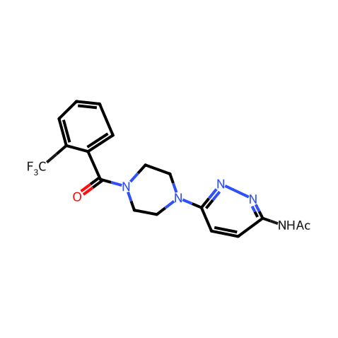 CC(=O)Nc1ccc(N2CCN(C(=O)c3ccccc3C(F)(F)F)CC2)nn1